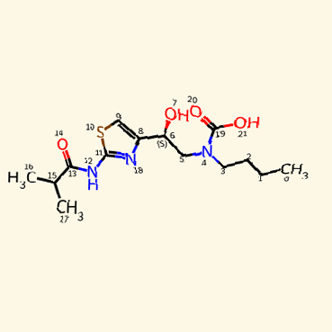 CCCCN(C[C@H](O)c1csc(NC(=O)C(C)C)n1)C(=O)O